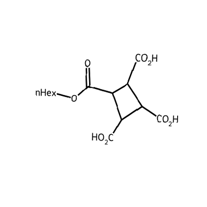 CCCCCCOC(=O)C1C(C(=O)O)C(C(=O)O)C1C(=O)O